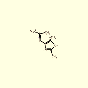 CO/C(C)=C/c1nc(C)oc1C